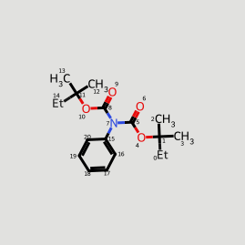 CCC(C)(C)OC(=O)N(C(=O)OC(C)(C)CC)c1ccccc1